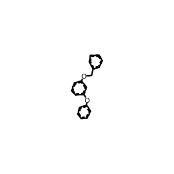 c1ccc(COc2cccc(Oc3ccccc3)c2)cc1